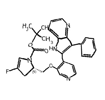 CC(C)(C)OC(=O)N1C=C(F)C[C@H]1COc1cnccc1-c1[nH]c2cccnc2c1-c1ccccc1